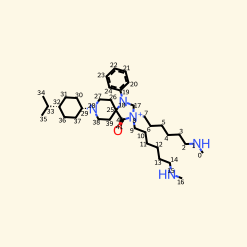 CNCCCCCC[N+]1(CCCCCCNC)CN(c2ccccc2)C2(CCN([C@H]3CC[C@@H](C(C)C)CC3)CC2)C1=O